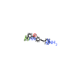 Nc1ncc(C#Cc2ccc(NC(=O)c3cccc(C(F)(F)F)c3)cc2)cn1